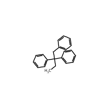 CCC([CH]c1ccccc1)(c1ccccc1)c1ccccc1